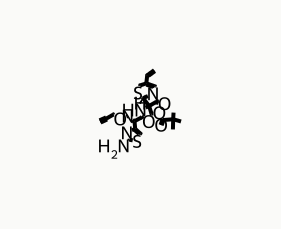 C#CCON=C(C(=O)NC1(COC(=O)C(C)(C)C)C(=O)N2C=C(C=C)CS[C@H]21)c1csc(N)n1